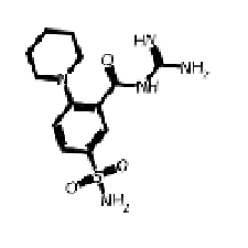 N=C(N)NC(=O)c1cc(S(N)(=O)=O)ccc1N1CCCCC1